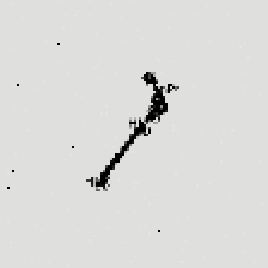 CCCN(CCc1cccs1)C1CCc2c(cccc2OC(=O)CCNC(=O)CCCCCCCCCCCCCCCC(=O)NCC)C1